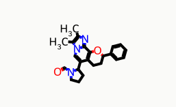 Cc1nc2c3c(c(C4CCCN4C=O)cn2c1C)CCC(c1ccccc1)O3